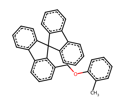 Cc1ccccc1OCc1cccc2c1C1(c3ccccc3-c3ccccc31)c1ccccc1-2